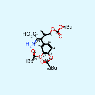 CCC(C)OC(=O)OCC(C)C(c1ccc(OC(=O)C(C)CC)c(OC(=O)C(C)CC)c1)[C@H](N)C(=O)O